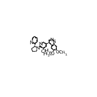 COc1cc2nncc(-c3cnc(N4CCC[C@H]4c4ccccn4)c(C)c3)c2cc1OC